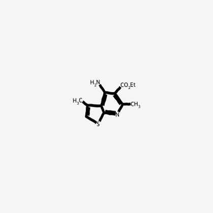 CCOC(=O)c1c(C)nc2scc(C)c2c1N